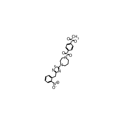 CS(=O)(=O)c1ccc(S(=O)(=O)N2CCCN(c3nc(Cc4ccccc4[N+](=O)[O-])ns3)CC2)cc1